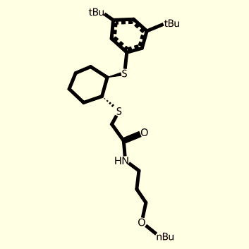 CCCCOCCCNC(=O)CS[C@@H]1CCCC[C@H]1Sc1cc(C(C)(C)C)cc(C(C)(C)C)c1